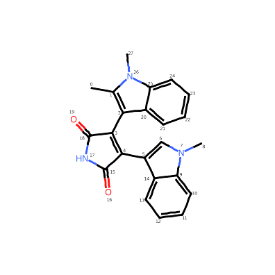 Cc1c(C2=C(c3cn(C)c4ccccc34)C(=O)NC2=O)c2ccccc2n1C